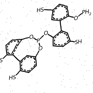 POc1ccc(S)cc1-c1cc(S)ccc1OP1Oc2ccc(S)c(c2)-c2cc(ccc2S)O1